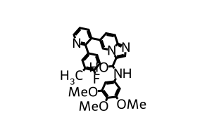 COc1cc(NC(O)c2cnc3ccc(-c4cccnc4-c4ccc(F)c(C)c4)cn23)cc(OC)c1OC